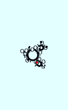 CC[C@H]1OC(=O)[C@H](C)[C@@H](O[C@H]2C[C@@](C)(OC)[C@@H](OC)[C@H](C)O2)[C@H](C)[C@@H](O[C@@H]2O[C@H](C)C[C@H](N(C)C)[C@H]2OC)[C@](C)(OC)C[C@@H](C)C(=O)[C@H](C)[C@H]2OC(=O)O[C@@]21C